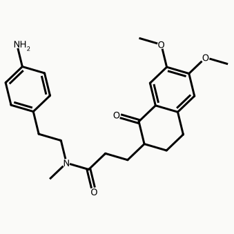 COc1cc2c(cc1OC)C(=O)C(CCC(=O)N(C)CCc1ccc(N)cc1)CC2